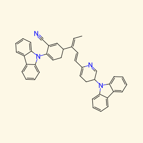 C/C=C(\C=C\C1=CCC(n2c3ccccc3c3ccccc32)C=N1)C1C=C(C#N)C(n2c3ccccc3c3ccccc32)=CC1